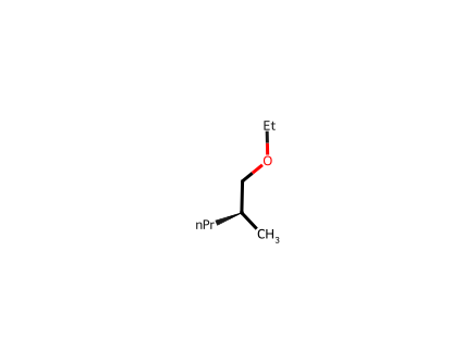 CCC[C@H](C)COCC